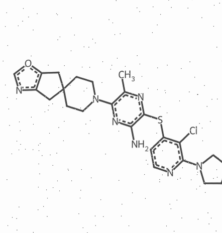 Cc1nc(Sc2ccnc(N3CCCC3)c2Cl)c(N)nc1N1CCC2(CC1)Cc1ncoc1C2